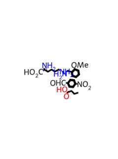 CCCC(=O)O.COc1ccccc1CN.NCCCC[C@H](N)C(=O)O.O=Cc1ccc([N+](=O)[O-])cc1